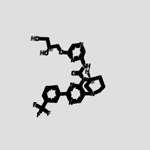 O=C(Nc1cncc(OC[C@H](O)CO)n1)N1c2nc(-c3cccc(C(F)(F)F)c3)ncc2N2CCC[C@H]1C2